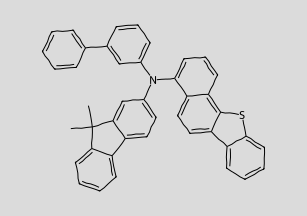 CC1(C)c2ccccc2-c2ccc(N(c3cccc(-c4ccccc4)c3)c3cccc4c3ccc3c5ccccc5sc43)cc21